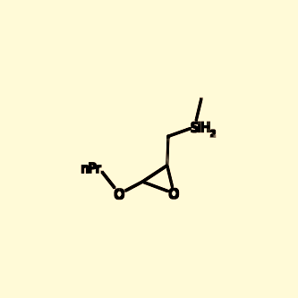 CCCOC1OC1C[SiH2]C